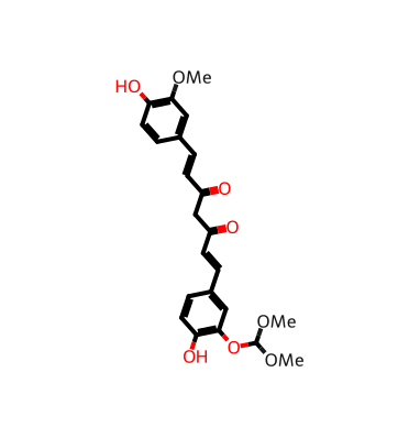 COc1cc(/C=C/C(=O)CC(=O)/C=C/c2ccc(O)c(OC(OC)OC)c2)ccc1O